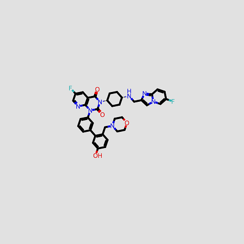 O=c1c2cc(F)cnc2n(-c2cccc(-c3cc(O)ccc3CN3CCOCC3)c2)c(=O)n1[C@H]1CC[C@@H](NCc2cn3cc(F)ccc3n2)CC1